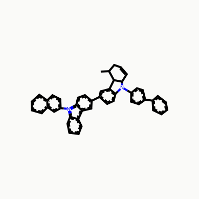 CC1CC=CC2C1c1cc(-c3ccc4c(c3)c3ccccc3n4-c3ccc4ccccc4c3)ccc1N2c1ccc(-c2ccccc2)cc1